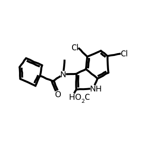 CN(C(=O)c1ccccc1)c1c(C(=O)O)[nH]c2cc(Cl)cc(Cl)c12